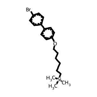 C[Si](C)(C)CCCCCCOc1ccc(-c2ccc(Br)cc2)cc1